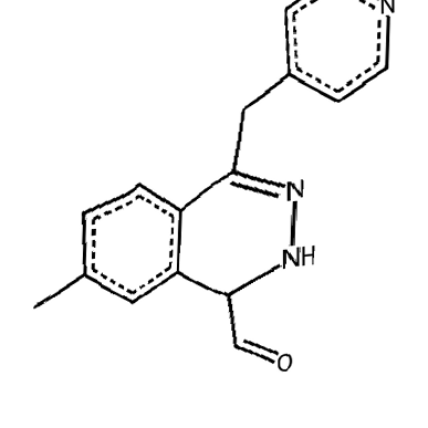 Cc1ccc2c(c1)C(C=O)NN=C2Cc1ccncc1